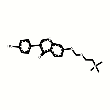 C[Si](C)(C)CCOCOc1ccc2c(=O)c(-c3ccc(O)cc3)coc2c1